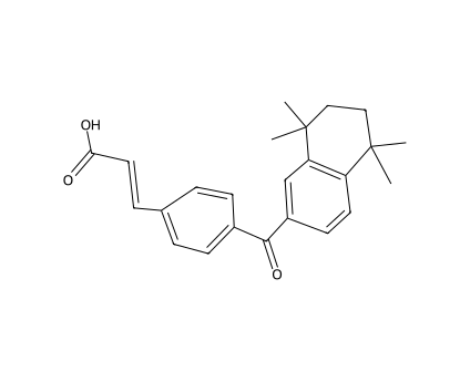 CC1(C)CCC(C)(C)c2cc(C(=O)c3ccc(C=CC(=O)O)cc3)ccc21